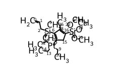 C=CC[Si](C)(C)C1=[C]([Pt]([CH2]C)([CH2]C)[CH2]C)CC([Si](OC)(OC)OC)=C1C